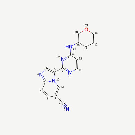 N#Cc1ccc2ncc(-c3nccc(NC4CCCOC4)n3)n2c1